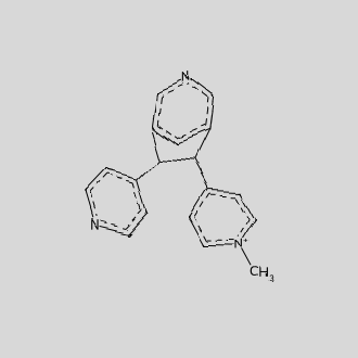 C[n+]1ccc(C2c3cncc(c3)C2c2ccncc2)cc1